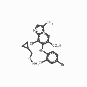 Cc1cnc2c(Cl)c(Nc3ccc(Br)cc3Cl)c(C(=O)O)cn12.NOCC1CC1